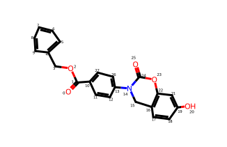 O=C(OCc1ccccc1)c1ccc(N2Cc3ccc(O)cc3OC2=O)cc1